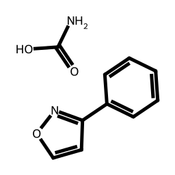 NC(=O)O.c1ccc(-c2ccon2)cc1